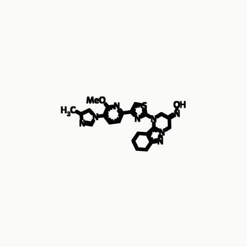 COc1nc(-c2csc(N3C/C(=N\O)Cn4nc5c(c43)CCCC5)n2)ccc1N1C=NC(C)C1